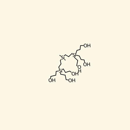 C[Si](C)(CCC[Si](CCCO)(CCCO)CCCO)CCC[Si](CCCO)(CCCO)CCCO